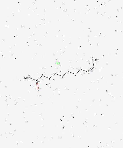 CCCCCCCC/C=C\CCCCCCCC(=O)NC.Cl